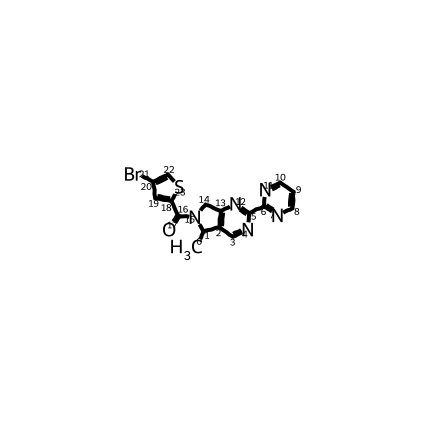 CC1c2cnc(-c3ncccn3)nc2CN1C(=O)c1cc(Br)cs1